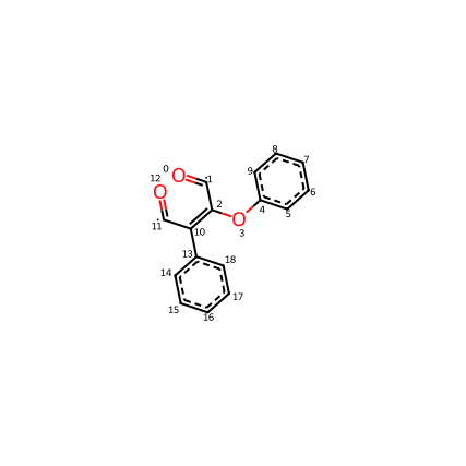 O=[C]/C(Oc1ccccc1)=C(\[C]=O)c1ccccc1